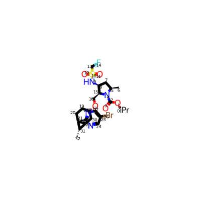 CC(C)OC(=O)N1[C@H](C)C[C@H](NS(=O)(=O)CF)[C@@H]1CO[C@H]1CC[C@]2(c3ncc(Br)cn3)C(C1)[C@@H]2C